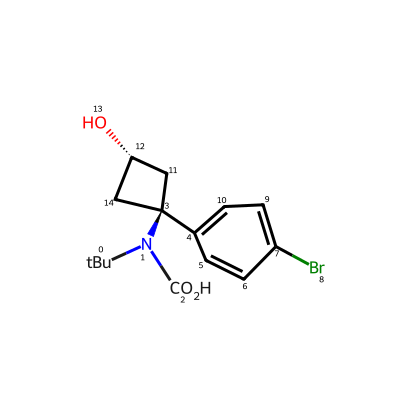 CC(C)(C)N(C(=O)O)[C@]1(c2ccc(Br)cc2)C[C@@H](O)C1